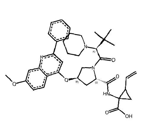 C=CC1CC1(NC(=O)[C@@H]1C[C@@H](Oc2cc(-c3ccccc3)nc3cc(OC)ccc23)CN1C(=O)[C@@H](N1CCCCC1)C(C)(C)C)C(=O)O